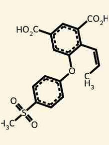 C/C=C\c1c(Oc2ccc(S(C)(=O)=O)cc2)cc(C(=O)O)cc1C(=O)O